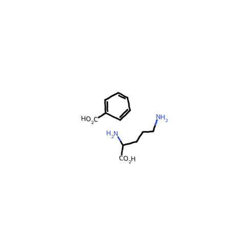 NCCCC(N)C(=O)O.O=C(O)c1ccccc1